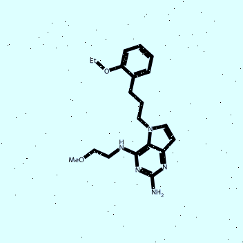 CCOc1ccccc1CCCn1ccc2nc(N)nc(NCCOC)c21